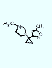 Cc1cc(C2(N3CCN(C)CC3)CC2)no1